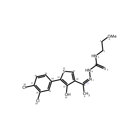 COCCNC(=S)N/N=C(/C)c1csc(-c2ccc(Cl)c(Cl)c2)c1O